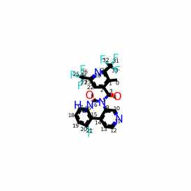 Cc1c(C(=O)N(C(N)=O)c2cnccc2-c2ccccc2F)cc(C(F)(F)F)nc1C(F)(F)F